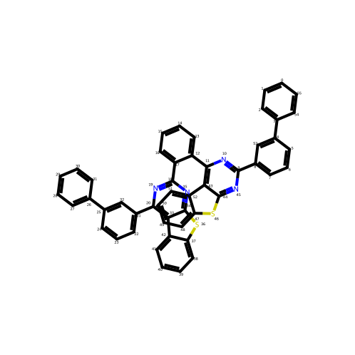 c1ccc(-c2cccc(-c3nc(-c4ccccc4-c4nc(-c5cccc(-c6ccccc6)c5)c5c(n4)sc4ccccc45)c4c(n3)sc3ccccc34)c2)cc1